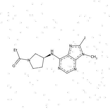 CCC(=O)N1CC[C@H](Nc2ncnc3c2nc(I)n3C)C1